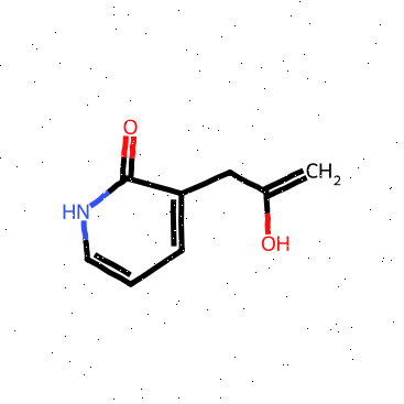 C=C(O)Cc1ccc[nH]c1=O